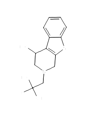 CC1CN(CC(C)(C)F)Cc2[nH]c3ccccc3c21